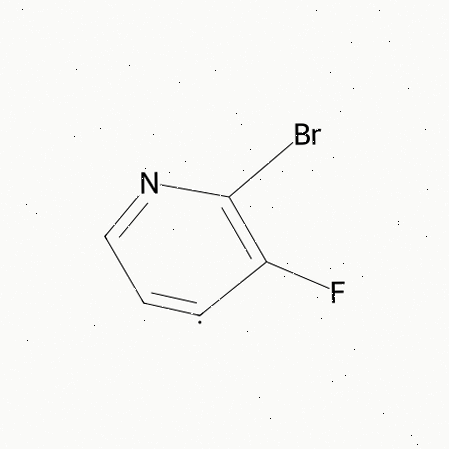 Fc1[c]ccnc1Br